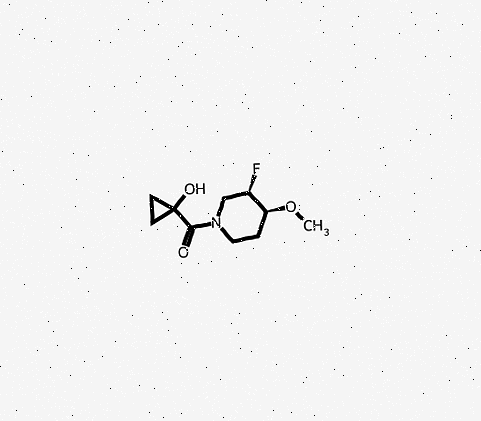 CO[C@H]1CCN(C(=O)C2(O)CC2)C[C@H]1F